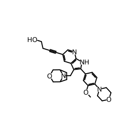 COc1cc(-c2[nH]c3ncc(C#CCCO)cc3c2CN2C3CCC2COC3)ccc1N1CCOCC1